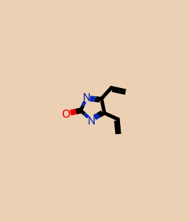 C=CC1=NC(=O)N=C1C=C